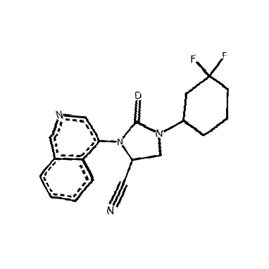 N#CC1CN(C2CCCC(F)(F)C2)C(=O)N1c1cncc2ccccc12